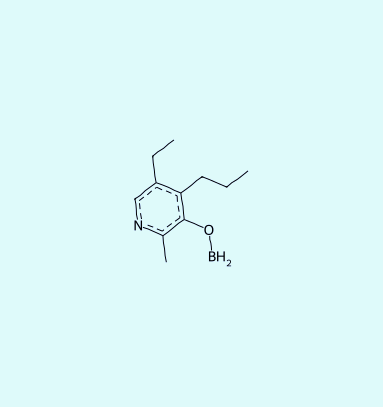 BOc1c(C)ncc(CC)c1CCC